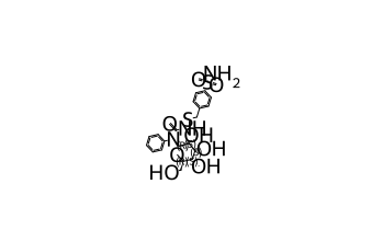 NS(=O)(=O)c1ccc(CSNC(=O)N(c2ccccc2)[C@@H]2O[C@H](CO)[C@@H](O)[C@H](O)[C@@H]2O)cc1